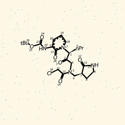 CCC[C@@H](C(=O)CN(C[C@@H]1CCNC1=O)C(=O)CCl)n1cccc(NC(=O)OC(C)(C)C)c1=O